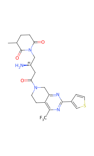 CC1CCC(=O)N(C[C@H](N)CC(=O)N2CCc3c(nc(-c4ccsc4)nc3C(F)(F)F)C2)C1=O